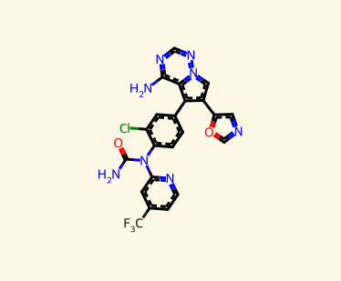 NC(=O)N(c1cc(C(F)(F)F)ccn1)c1ccc(-c2c(-c3cnco3)cn3ncnc(N)c23)cc1Cl